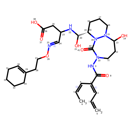 C=C/C=C(\C=C/C)C(=O)NN1CCC(O)N2CCC[C@@H](C(O)NC(/C=N/OCCC3=CCCCC3)CC(=O)O)N2C1=O